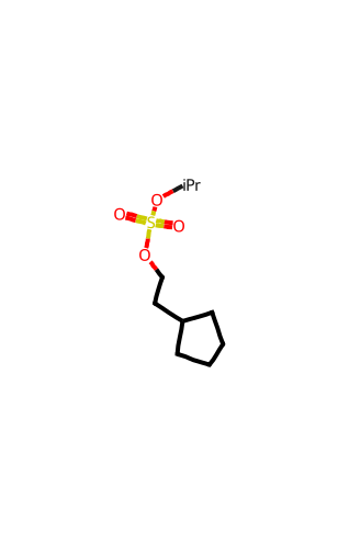 CC(C)OS(=O)(=O)OCCC1CCCC1